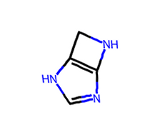 c1nc2c([nH]1)CN2